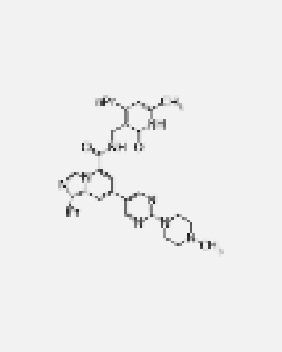 CCCc1cc(C)[nH]c(=O)c1CNC(=O)c1cc(-c2cnc(N3CCN(C)CC3)nc2)cc2c(C(C)C)ncn12